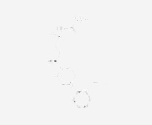 CNC(=O)NC(C)(C=O)CCC(=O)N1CCN(c2ccccc2OC(F)(F)F)CC1